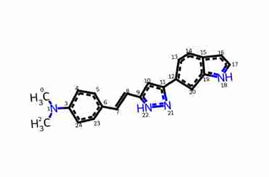 CN(C)c1ccc(/C=C/c2cc(-c3ccc4cc[nH]c4c3)n[nH]2)cc1